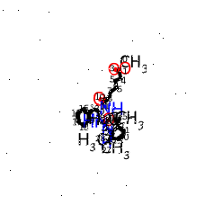 COC(=O)CCCCCC(=O)NC(Cc1ccccc1)NC(=O)Nc1c(C(C)C)cccc1C(C)C